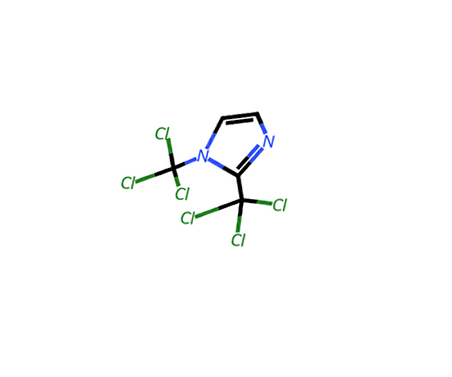 ClC(Cl)(Cl)c1nccn1C(Cl)(Cl)Cl